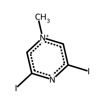 C[n+]1cc(I)nc(I)c1